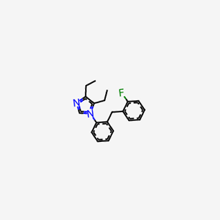 CCc1ncn(-c2ccccc2Cc2ccccc2F)c1CC